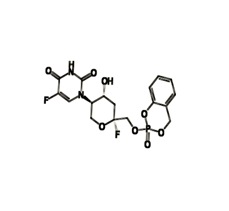 O=c1[nH]c(=O)n([C@@H]2CO[C@](F)(COP3(=O)OCc4ccccc4O3)C[C@H]2O)cc1F